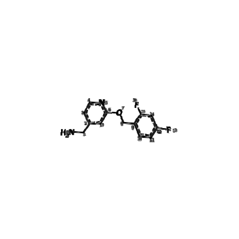 NCc1ccnc(OCc2ccc(F)cc2F)c1